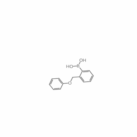 OB(O)c1ccccc1COc1ccccc1